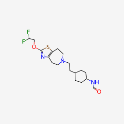 O=CNC1CCC(CCN2CCc3nc(OCC(F)F)sc3CC2)CC1